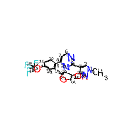 Cn1cc(C2N=CC=C(c3ccc(OC(F)(F)F)cc3)N2[C@H]2COC[C@H]2O)cn1